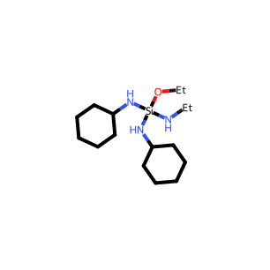 CCN[Si](NC1CCCCC1)(NC1CCCCC1)OCC